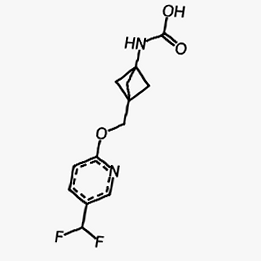 O=C(O)NC12CC(COc3ccc(C(F)F)cn3)(C1)C2